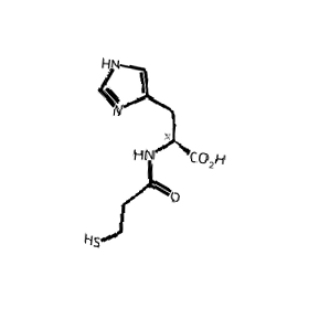 O=C(CCS)N[C@@H](Cc1c[nH]cn1)C(=O)O